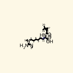 CN=C(N)N(C)CCCCC/C=C(\NC(=O)C1CC1(C)C)C(=O)O